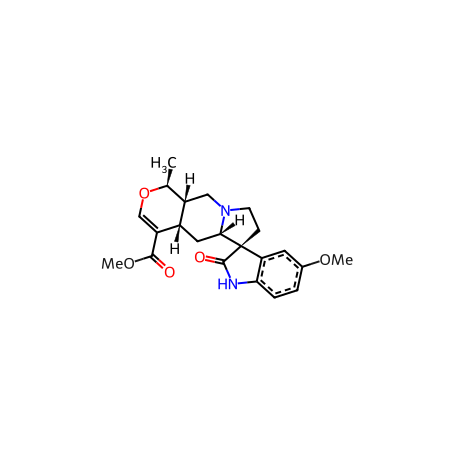 COC(=O)C1=CO[C@@H](C)[C@@H]2CN3CC[C@@]4(C(=O)Nc5ccc(OC)cc54)[C@@H]3C[C@H]12